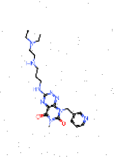 CCN(CC)CCNCCCNc1nnc2c(n1)c(=O)n(C)c(=O)n2Cc1cccnc1